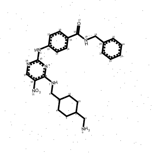 NCC1CCC(CNc2nc(Nc3ccc(C(=O)NCc4ccccc4)cc3)ncc2[N+](=O)[O-])CC1